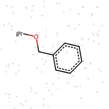 CC(C)OCc1cc[c]cc1